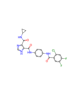 O=C(Nc1ccc(NC(=O)c2[nH]cnc2C(=O)NC2CC2)cc1)c1cc(F)c(F)cc1Cl